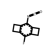 O=C=Nc1c2c(c(F)c3c1CC3)CC2